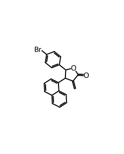 C=C1C(=O)OC(c2ccc(Br)cc2)C1c1cccc2ccccc12